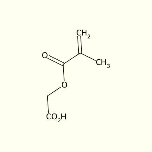 C=C(C)C(=O)OCC(=O)O